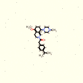 COC1=C2CCN(C(=O)Cc3ccc(C(C)C)cc3)C=C2C(N2CCN(C)CC2)CC1